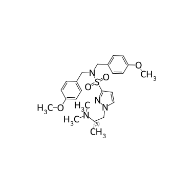 COc1ccc(CN(Cc2ccc(OC)cc2)S(=O)(=O)c2ccn(C[C@H](C)N(C)C)n2)cc1